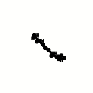 O=C(O)CCCC(=O)NCCCOCCOCCOCCCNC(=O)CCCC[C@@H]1CC[C@@H]2NC(=O)N[C@H]12